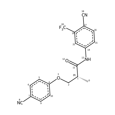 C[C@H](COc1ccc(C#N)cc1)C(=O)Nc1ccc(C#N)c(C(F)(F)F)c1